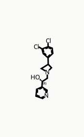 O[C@@H](CN1CC(c2ccc(Cl)c(Cl)c2)C1)c1cccnc1